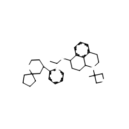 CC1(N2CCc3cccc4c3C2CCC4NCC[C@@]2(c3ccccn3)CCOC3(CCCC3)C2)COC1